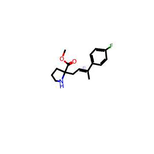 COC(=O)C1(C/C=C(\C)c2ccc(F)cc2)CCCN1